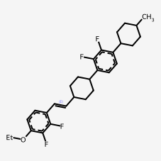 CCOc1ccc(/C=C/C2CCC(c3ccc(C4CCC(C)CC4)c(F)c3F)CC2)c(F)c1F